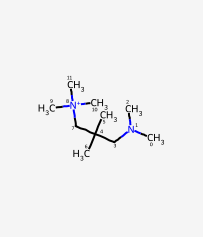 CN(C)CC(C)(C)C[N+](C)(C)C